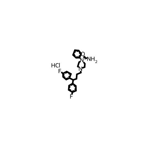 Cl.NC(=O)[N+]1(c2ccccc2)CCN(CCCC(c2ccc(F)cc2)c2ccc(F)cc2)CC1